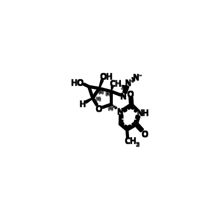 Cc1cn([C@@H]2O[C@@H]3C(O)[C@]3(O)[C@@]2(C)N=[N+]=[N-])c(=O)[nH]c1=O